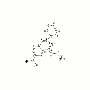 FC(F)c1ccc2nc(C3CC=CCC3)nc(OCC(F)(F)F)c2c1